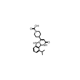 CC(C)c1cccc2c1C1NC(=O)C=C(C3CCN(C(=O)O)CC3)N1N2